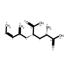 C=C(/C=C\C)C[C@@H](C[C@H](N)C(=O)O)C(=O)O